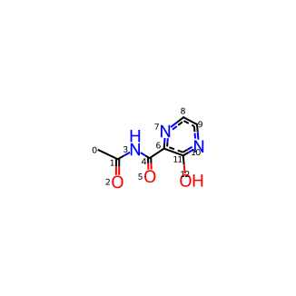 CC(=O)NC(=O)c1nccnc1O